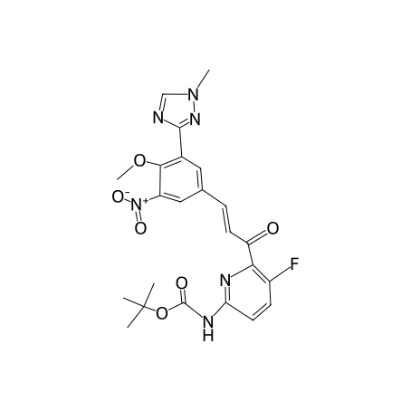 COc1c(-c2ncn(C)n2)cc(/C=C/C(=O)c2nc(NC(=O)OC(C)(C)C)ccc2F)cc1[N+](=O)[O-]